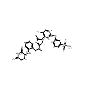 Cc1nc(N(C)Cc2ccccc2NC2CCC(=O)NC2=O)sc1-c1nc(Nc2cccc(S(N)(=O)=O)c2)ncc1F